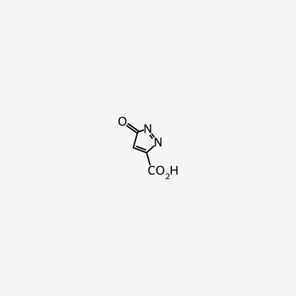 O=C1C=C(C(=O)O)N=N1